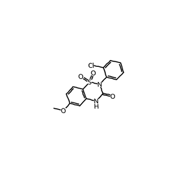 COc1ccc2c(c1)NC(=O)N(c1ccccc1Cl)S2(=O)=O